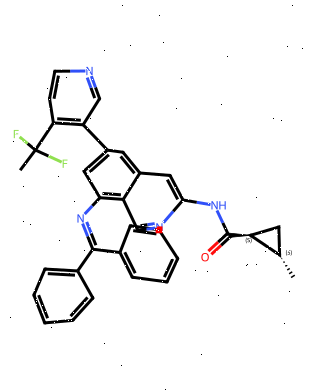 C[C@H]1C[C@@H]1C(=O)Nc1cc2cc(-c3cnccc3C(C)(F)F)cc(N=C(c3ccccc3)c3ccccc3)c2cn1